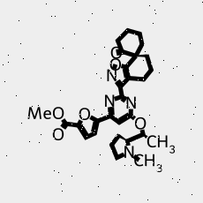 COC(=O)c1ccc(-c2cc(O[C@@H](C)[C@@H]3CCCN3C)nc(-c3noc4c3CCC[C@@]43CCCCC3=O)n2)o1